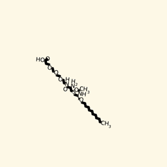 CCCCCCCCCCCCOC[C@H](CSC[C@H](N)C(=O)NCCOCCOCCOCCC(=O)O)NC(C)=O